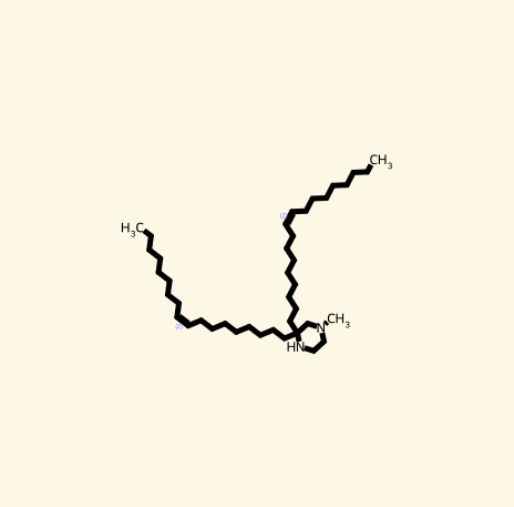 CCCCCCCC/C=C\CCCCCCCCC1(CCCCCCCC/C=C\CCCCCCCC)CN(C)CCN1